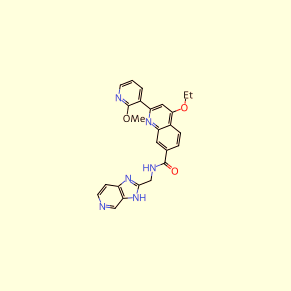 CCOc1cc(-c2cccnc2OC)nc2cc(C(=O)NCc3nc4ccncc4[nH]3)ccc12